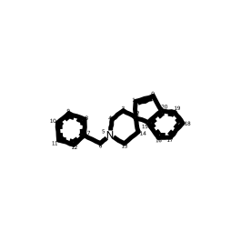 C1=CC2(CCN(Cc3ccccc3)CC2)c2ccccc21